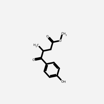 COC(=O)CC(C)C(=O)c1ccc(O)cc1